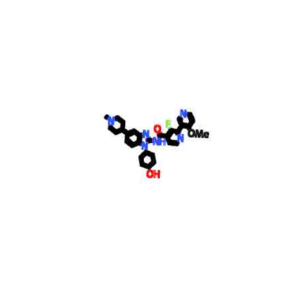 COc1ccncc1-c1nccc(C(=O)Nc2nc3cc(C4CCN(C)CC4)ccc3n2[C@H]2CC[C@@H](O)CC2)c1F